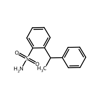 CC(c1ccccc1)c1ccccc1S(N)(=O)=O